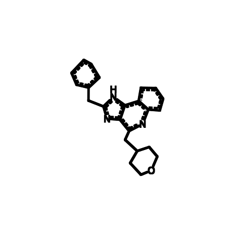 c1ccc(Cc2nc3c(CC4CCOCC4)nc4ccccc4c3[nH]2)cc1